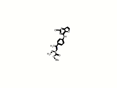 C=NN(/C=C(\C)c1ccc(Nc2nc(Cl)nc3ccoc23)cc1)C(=O)OC(C)(C)C